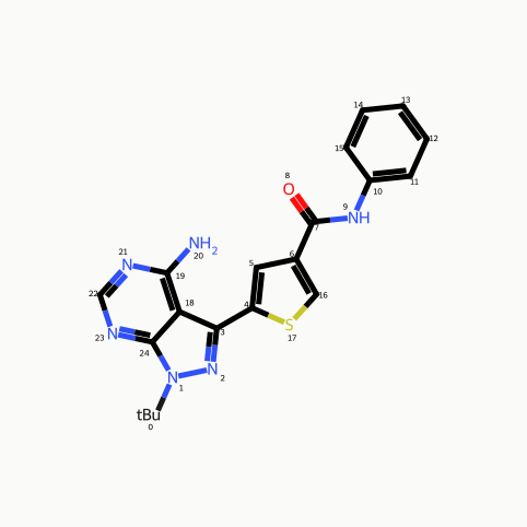 CC(C)(C)n1nc(-c2cc(C(=O)Nc3ccccc3)cs2)c2c(N)ncnc21